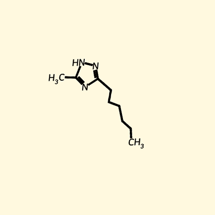 CCCCCCc1n[nH]c(C)n1